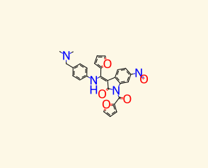 CN(C)Cc1ccc(N/C(=C2\C(=O)N(C(=O)c3ccco3)c3cc(N=O)ccc32)c2ccco2)cc1